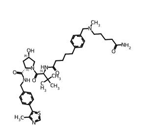 Cc1ncsc1-c1ccc(CNC(=O)[C@@H]2C[C@@H](O)CN2C(=O)[C@@H](NC(=O)CCCCc2ccc(CN(C)CCCCC(N)=O)cc2)C(C)(C)C)cc1